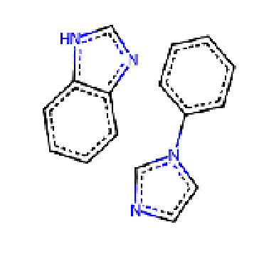 c1ccc(-n2ccnc2)cc1.c1ccc2[nH]cnc2c1